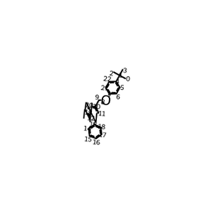 CC(C)(C)c1ccc(OCc2cn(-c3ccccc3)nn2)cc1